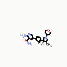 C[C@@H]1CN(C2CCOCC2)C[C@@]1(C)c1ccc(-c2cnc(N)c(C(N)=O)c2)cc1